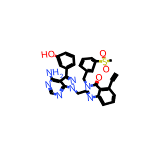 C#Cc1cccc2nc(Cn3nc(-c4cccc(O)c4)c4c(N)ncnc43)n(Cc3cccc(S(C)(=O)=O)c3)c(=O)c12